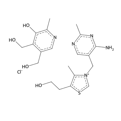 Cc1ncc(CO)c(CO)c1O.Cc1ncc(C[n+]2csc(CCO)c2C)c(N)n1.[Cl-]